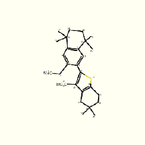 COCc1cc2c(cc1-c1sc3c(c1C(=O)O)CC(C)(C)CC3)C(C)(C)CCC2(C)C